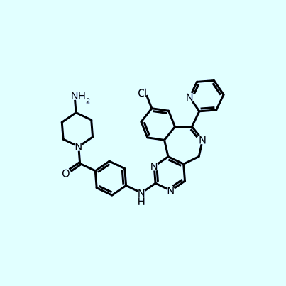 NC1CCN(C(=O)c2ccc(Nc3ncc4c(n3)C3C=CC(Cl)=CC3C(c3ccccn3)=NC4)cc2)CC1